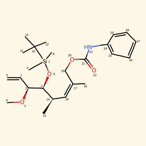 C=C[C@H](OC)[C@@H](O[Si](C)(C)C(C)(C)C)[C@H](C)/C=C(/C)COC(=O)Nc1ccccc1